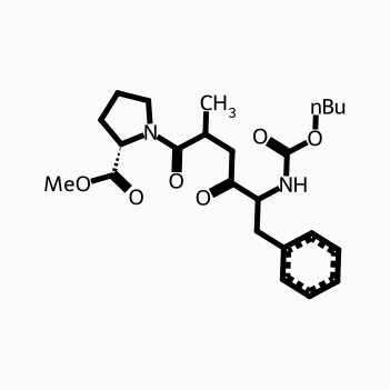 CCCCOC(=O)NC(Cc1ccccc1)C(=O)CC(C)C(=O)N1CCC[C@H]1C(=O)OC